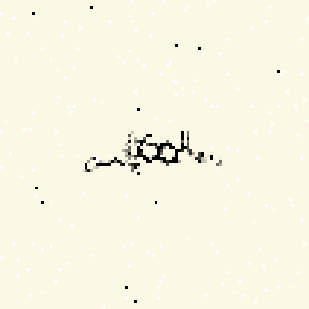 NNc1ccc2cc(S(=O)(=O)CCCCl)c(=O)oc2c1